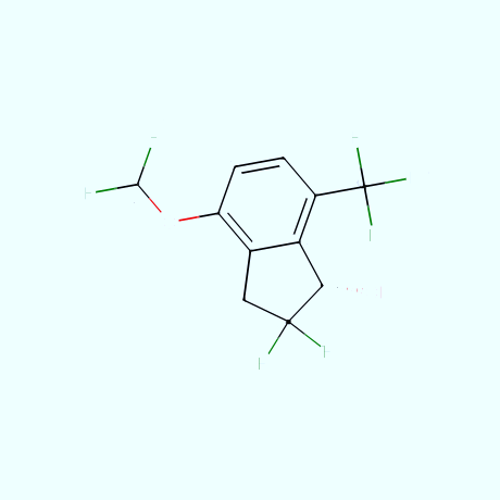 O[C@H]1c2c(C(F)(F)F)ccc(OC(F)F)c2CC1(F)F